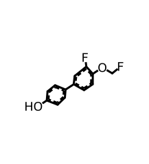 Oc1ccc(-c2ccc(OCF)c(F)c2)cc1